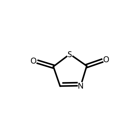 O=C1C=NC(=O)S1